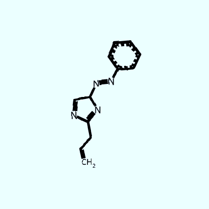 C=CCC1=NC(/N=N/c2ccccc2)C=N1